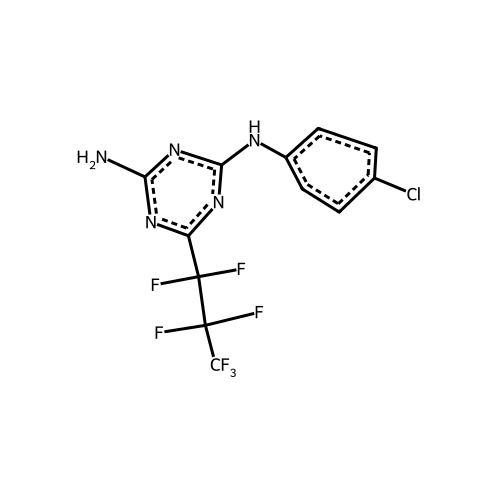 Nc1nc(Nc2ccc(Cl)cc2)nc(C(F)(F)C(F)(F)C(F)(F)F)n1